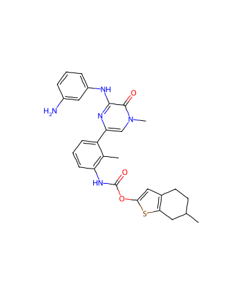 Cc1c(NC(=O)Oc2cc3c(s2)CC(C)CC3)cccc1-c1cn(C)c(=O)c(Nc2cccc(N)c2)n1